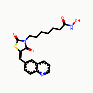 O=C(CCCCCCN1C(=O)SC(=Cc2ccc3ncccc3c2)C1=O)NO